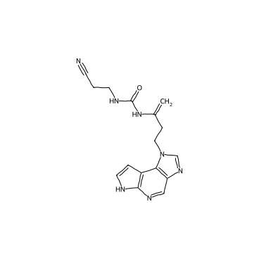 C=C(CCn1cnc2cnc3[nH]ccc3c21)NC(=O)NCCC#N